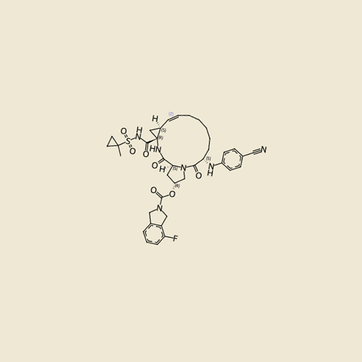 CC1(S(=O)(=O)NC(=O)[C@@]23C[C@H]2/C=C\CCCCC[C@H](Nc2ccc(C#N)cc2)C(=O)N2C[C@H](OC(=O)N4Cc5cccc(F)c5C4)C[C@H]2C(=O)N3)CC1